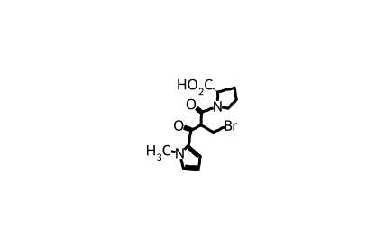 Cn1cccc1C(=O)C(CBr)C(=O)N1CCC[C@H]1C(=O)O